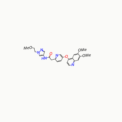 COCCn1cc(NC(=O)Cc2ccc(Oc3ccnc4cc(OC)c(OC)cc34)cn2)cn1